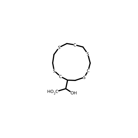 O=C(O)C(O)C1CSCCSCCCSCCSC1